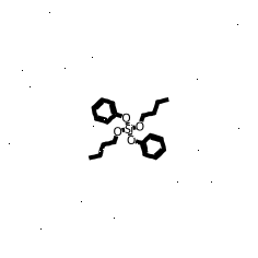 CCCCO[Si](OCCCC)(Oc1ccccc1)Oc1ccccc1